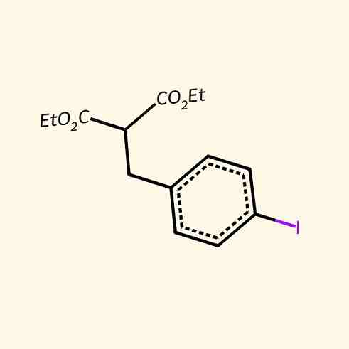 CCOC(=O)C(Cc1ccc(I)cc1)C(=O)OCC